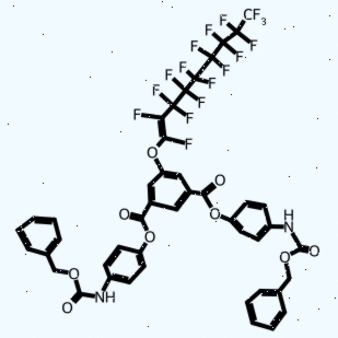 O=C(Nc1ccc(OC(=O)c2cc(OC(F)=C(F)C(F)(F)C(F)(F)C(F)(F)C(F)(F)C(F)(F)C(F)(F)C(F)(F)F)cc(C(=O)Oc3ccc(NC(=O)OCc4ccccc4)cc3)c2)cc1)OCc1ccccc1